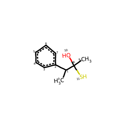 CC(c1ccccc1)C(C)(O)S